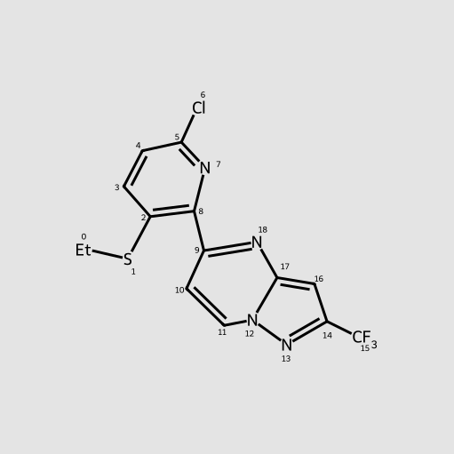 CCSc1ccc(Cl)nc1-c1ccn2nc(C(F)(F)F)cc2n1